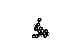 CC1(c2cccc3oc4cc(-c5ccccc5)ccc4c23)C=CC=C[C@H]1c1nc(-c2ccc3ccccc3c2)nc(-c2cccc3oc4ccccc4c23)n1